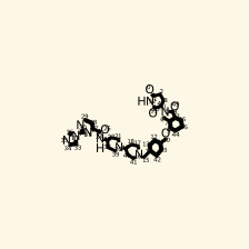 O=C1CC[C@H](N2Cc3c(OCc4ccc(CN5CCC(N6CCC(NC(=O)c7ccnc(-n8ccnc8)n7)CC6)CC5)cc4)cccc3C2=O)C(=O)N1